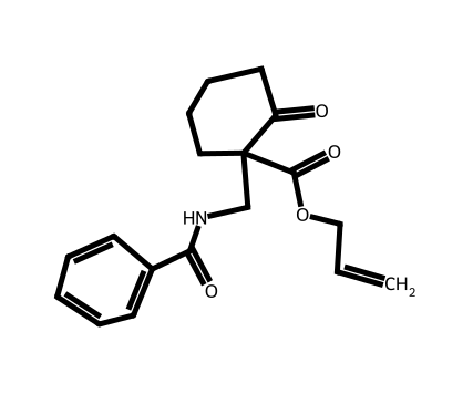 C=CCOC(=O)C1(CNC(=O)c2ccccc2)CCCCC1=O